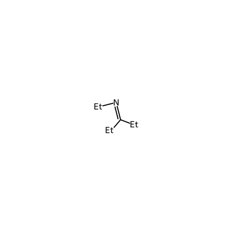 CCN=C(CC)CC